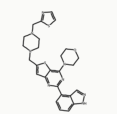 c1cc(-c2nc(N3CCOCC3)c3sc(CN4CCN(Cc5nccs5)CC4)cc3n2)c2cn[nH]c2c1